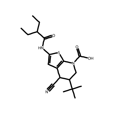 CCC(CC)C(=O)Nc1cc2c(s1)N(C(=O)O)CC(C(C)(C)C)C2C#N